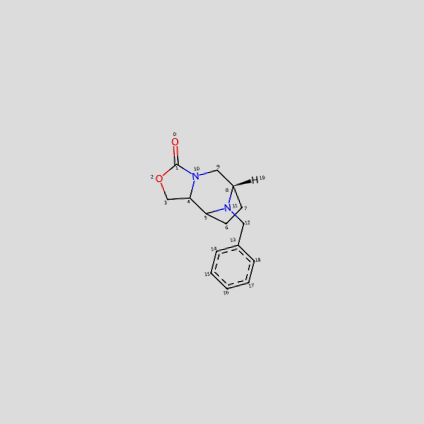 O=C1OCC2C3CC[C@@H](CN12)N3Cc1ccccc1